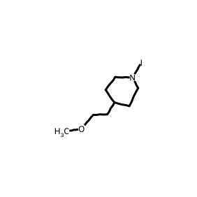 COCCC1CCN(I)CC1